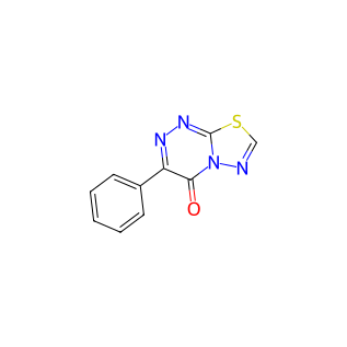 O=c1c(-c2ccccc2)nnc2scnn12